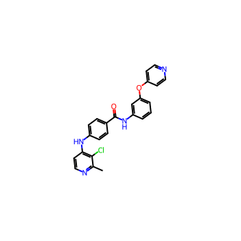 Cc1nccc(Nc2ccc(C(=O)Nc3cccc(Oc4ccncc4)c3)cc2)c1Cl